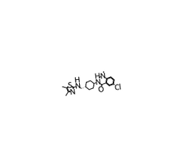 Cc1nc(NC[C@H]2CC[C@H](NC(=O)c3cc(Cl)ccc3N(C)C)CC2)sc1C